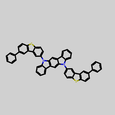 c1ccc(-c2ccc3sc4ccc(-n5c6ccccc6c6cc7c(cc65)c5ccccc5n7-c5ccc6sc7ccc(-c8ccccc8)cc7c6c5)cc4c3c2)cc1